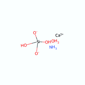 N.O.[Ca+2].[O-][Si]([O-])(O)O